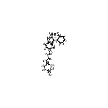 CSc1ccccc1-c1cnc2ccc(OCCCN3CCN(C)CC3)nn12